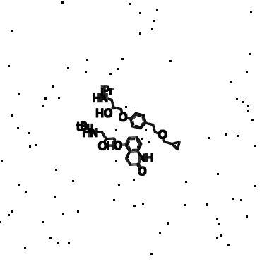 CC(C)(C)NCC(O)COc1cccc2c1CCC(=O)N2.CC(C)NCC(O)COc1ccc(CCOCC2CC2)cc1